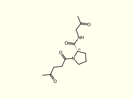 CC(=O)CCC(=O)N1CCC[C@H]1C(=O)NCC(C)=O